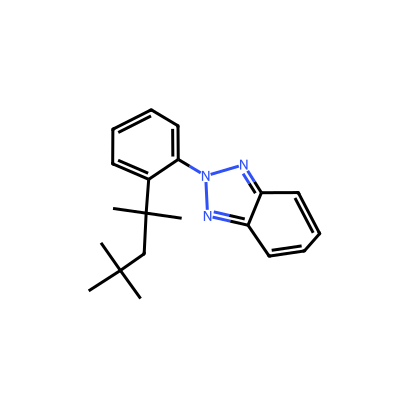 CC(C)(C)CC(C)(C)c1ccccc1-n1nc2ccccc2n1